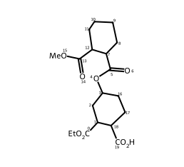 CCOC(=O)C1CC(OC(=O)C2CCCCC2C(=O)OC)CCC1C(=O)O